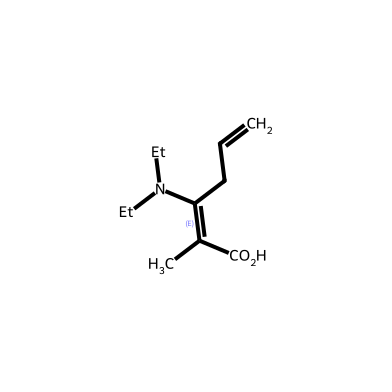 C=CC/C(=C(/C)C(=O)O)N(CC)CC